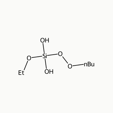 CCCCOO[Si](O)(O)OCC